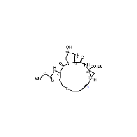 CCOC(=O)[C@@]12C[C@H]1/C=C\CCCCC[C@@H](NC(=O)OC(C)(C)C)C(=O)N1C[C@@H](O)C[C@H]1C(=O)N2